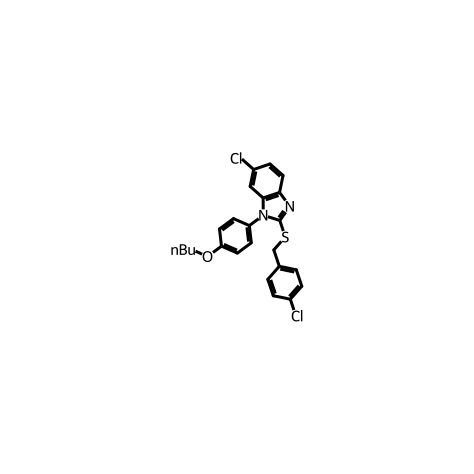 CCCCOc1ccc(-n2c(SCc3ccc(Cl)cc3)nc3ccc(Cl)cc32)cc1